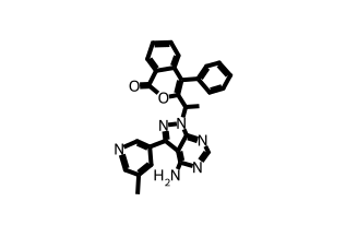 Cc1cncc(-c2nn(C(C)c3oc(=O)c4ccccc4c3-c3ccccc3)c3ncnc(N)c23)c1